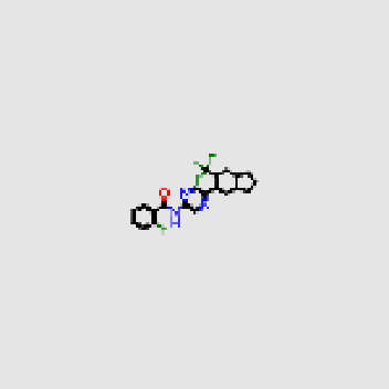 O=C(Nc1cnc(C2=C(C(F)(F)F)CC3CCCC3C2)cn1)c1ccccc1F